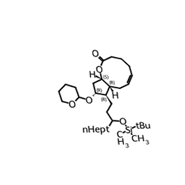 CCCCCCCC(CC[C@@H]1[C@H]2CC=CCCCC(=O)O[C@H]2C[C@H]1OC1CCCCO1)O[Si](C)(C)C(C)(C)C